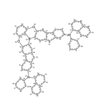 c1ccc(N(c2ccc3c(c2)sc2cc4c(cc23)Oc2cccc3c2B4c2cc4sc5cc(N(c6ccccc6)c6cccc7ccccc67)ccc5c4cc2O3)c2cccc3ccccc23)cc1